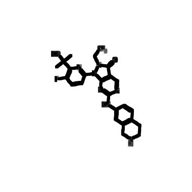 CC(C)(O)c1nc(-n2c3nc(Nc4ccc5c(c4)CNCC5)ncc3c(=O)n2CC(F)(F)F)ccc1F